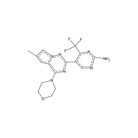 Cc1cc2c(N3CCOCC3)nc(-c3cnc(N)nc3C(F)(F)F)nn2c1